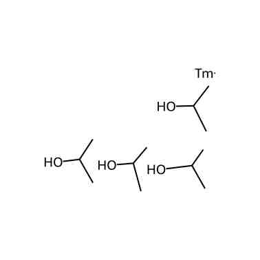 CC(C)O.CC(C)O.CC(C)O.CC(C)O.[Tm]